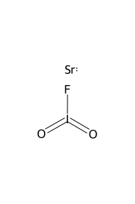 O=I(=O)F.[Sr]